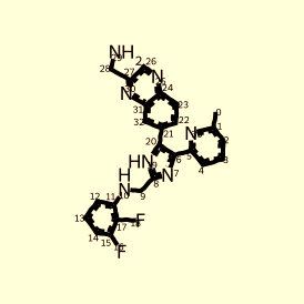 Cc1cccc(-c2nc(CNc3cccc(F)c3F)[nH]c2-c2ccc3ncc(CN)nc3c2)n1